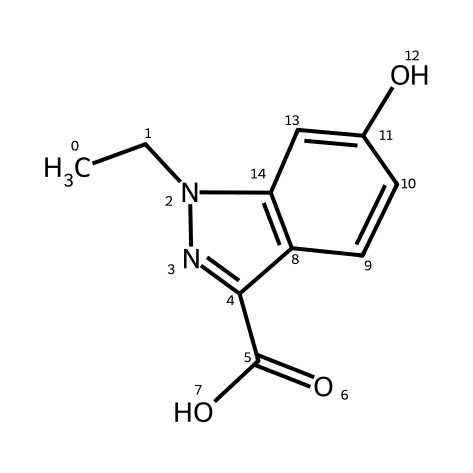 CCn1nc(C(=O)O)c2ccc(O)cc21